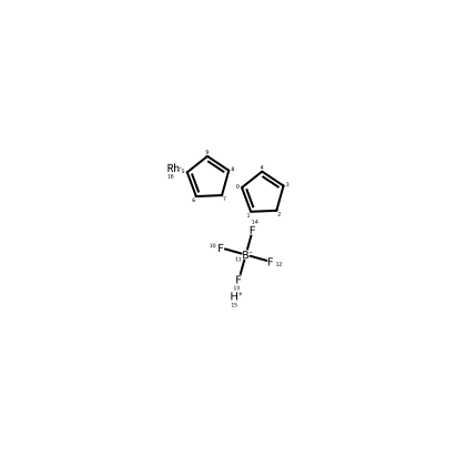 C1=CCC=C1.C1=CCC=C1.F[B-](F)(F)F.[H+].[Rh]